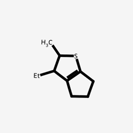 CCC1C2=C(CCC2)SC1C